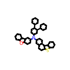 c1ccc(-c2ccc(N(c3ccc4c(ccc5sc6ccccc6c54)c3)c3ccc4oc5ccccc5c4c3)cc2-c2ccccc2)cc1